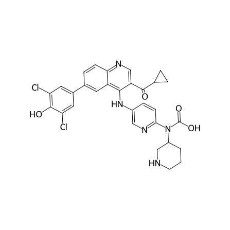 O=C(c1cnc2ccc(-c3cc(Cl)c(O)c(Cl)c3)cc2c1Nc1ccc(N(C(=O)O)C2CCCNC2)nc1)C1CC1